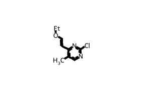 CCOC=Cc1nc(Cl)ncc1C